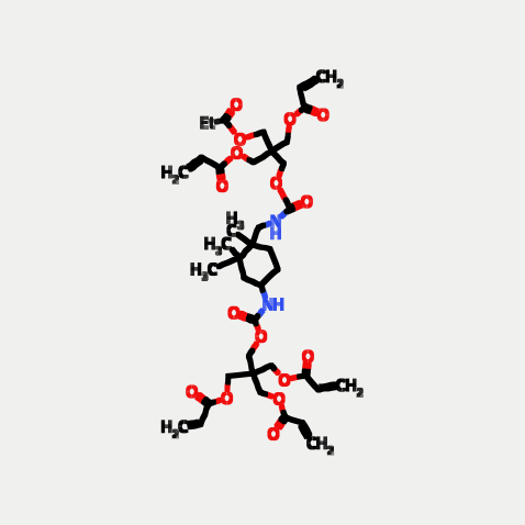 C=CC(=O)OCC(COC(=O)C=C)(COC(=O)CC)COC(=O)NCC1(C)CCC(NC(=O)OCC(COC(=O)C=C)(COC(=O)C=C)COC(=O)C=C)CC1(C)C